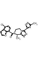 Cc1nsc(-c2nnc3n2CCN(C(=O)c2ccc(Cl)c4ccoc24)[C@@H]3C)n1